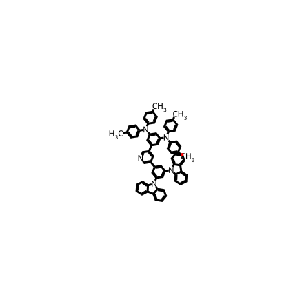 Cc1ccc(N(c2ccc(C)cc2)c2cc(-c3cncc(-c4cc(-n5c6ccccc6c6ccccc65)cc(-n5c6ccccc6c6ccccc65)c4)c3)cc(N(c3ccc(C)cc3)c3ccc(C)cc3)c2)cc1